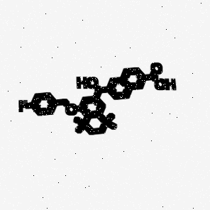 CC1(C)CCC(C)(C)c2c(OCc3ccc(F)cc3)cc(C(O)c3ccc4cc(C(=O)O)ccc4c3)cc21